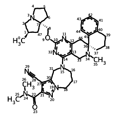 C[C@H]1CN2CCC[C@@]2(COc2nc3c(c(N4CCCn5nc(C(=O)N(C)C)c(C#N)c5C4)n2)CN(C)[C@@]2(CCCc4ccccc42)C3)C1